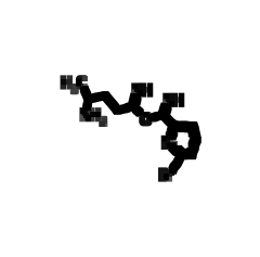 CC(N)CCC(=N)OC(=N)c1cccc(Br)n1